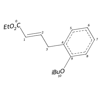 CCOC(=O)C=CCc1ccccc1OCC(C)C